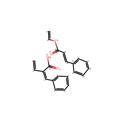 C=CC(=Cc1ccccc1)C(=O)O.C=COC(=O)C=Cc1ccccc1